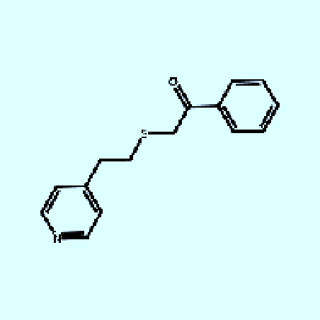 O=C(CSCCc1ccncc1)c1ccccc1